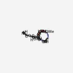 CO[C@H]1C[C@@H]2CC[C@@H](C)[C@@](O)(O2)C(=O)C(=O)N2CCCC[C@H]2C(=O)O[C@H]([C@H](N)C[C@@H]2CC[C@@H](OC(=O)NCCOCCC(=O)NCc3cnc(C)nc3)[C@H](OC)C2)CC(=O)[C@H](C)/C=C(\C)[C@@H](O)[C@@H](O)C(=O)[C@H](C)C[C@H](C)/C=C/C=C/C=C/1C